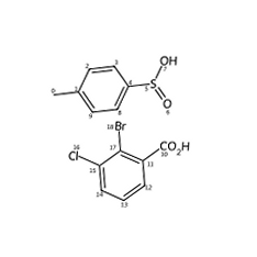 Cc1ccc(S(=O)O)cc1.O=C(O)c1cccc(Cl)c1Br